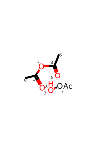 CC(=O)OC(C)=O.CC(=O)OO